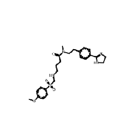 COc1ccc(S(=O)(=O)CNCCCC(=O)N(C)CCc2ccc(C3=NCCN3)cc2)cc1